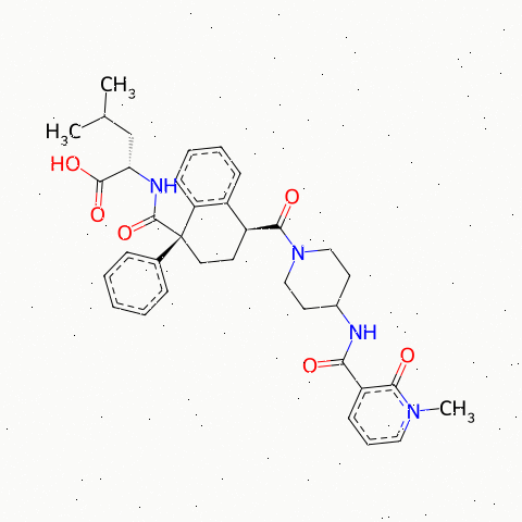 CC(C)C[C@H](NC(=O)[C@@]1(c2ccccc2)CC[C@H](C(=O)N2CCC(NC(=O)c3cccn(C)c3=O)CC2)c2ccccc21)C(=O)O